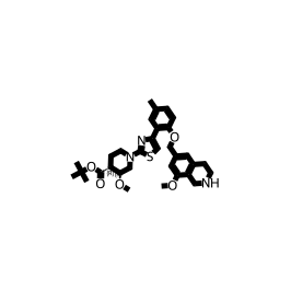 COc1cc(COc2ccc(C)cc2-c2csc(N3CC[C@@H](C(=O)OC(C)(C)C)[C@@H](OC)C3)n2)cc2c1CNCC2